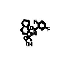 CC(=O)N1N=C(c2cc(F)ccc2F)OC12c1ccccc1CCC2CCO